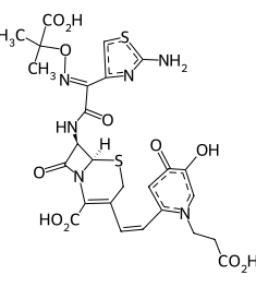 CC(C)(ON=C(C(=O)N[C@@H]1C(=O)N2C(C(=O)O)=C(/C=C\c3cc(=O)c(O)cn3CCC(=O)O)CS[C@H]12)c1csc(N)n1)C(=O)O